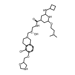 CN(C)CCOC1CC(C(=O)NC[C@H](O)CN2CCc3c(ccc(OCC4CNCO4)c3Cl)C2)CC(NC2CCC2)N1